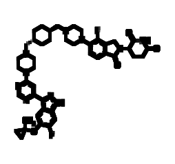 CC1(Oc2cc3c(-c4cc(N5CCN(C[C@H]6CC[C@H](CN7CCN(c8ccc9c(c8F)CN(C8CCC(=O)NC8=O)C9=O)CC7)CC6)CC5)ncn4)n[nH]c3cc2F)CC1